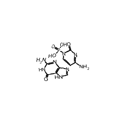 Nc1ccn(P(=O)(O)O)c(=O)n1.Nc1nc2nc[nH]c2c(=O)[nH]1